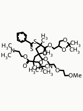 COCCOCCOC(=O)C(C)(CC(C)(CC(C)(C)C#N)C(=O)OCCN(C)C)CC(C)(SC(=S)c1ccccc1)C(=O)OCC1COC(C)(C)O1